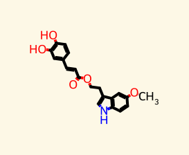 COc1ccc2[nH]cc(CCOC(=O)C=Cc3ccc(O)c(O)c3)c2c1